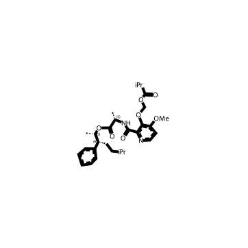 COc1ccnc(C(=O)N[C@@H](C)C(=O)O[C@@H](C)[C@H](CCC(C)C)c2ccccc2)c1OCOC(=O)C(C)C